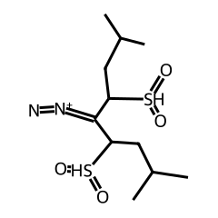 CC(C)CC(C(=[N+]=[N-])C(CC(C)C)[SH](=O)=O)[SH](=O)=O